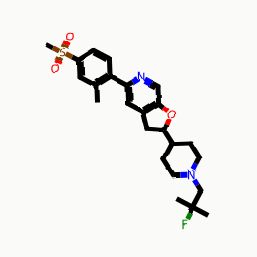 Cc1cc(S(C)(=O)=O)ccc1-c1cc2c(cn1)OC(C1CCN(CC(C)(C)F)CC1)C2